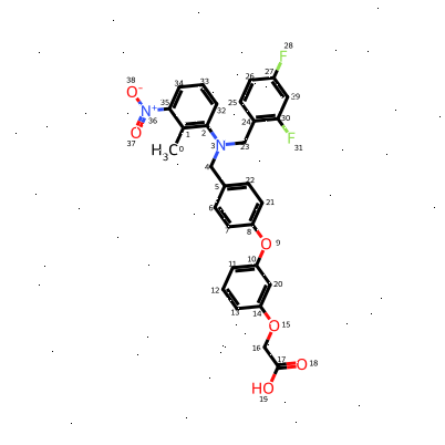 Cc1c(N(Cc2ccc(Oc3cccc(OCC(=O)O)c3)cc2)Cc2ccc(F)cc2F)cccc1[N+](=O)[O-]